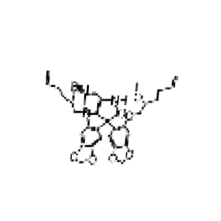 C=CCC[C@@H](O)COc1cc2c(cc1C1(c3cc4c(cc3OC[C@H](O)CCC=C)OCO4)C(=O)Nc3cc(Br)ccc31)OCO2